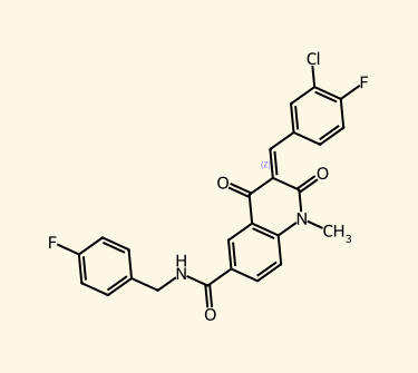 CN1C(=O)/C(=C\c2ccc(F)c(Cl)c2)C(=O)c2cc(C(=O)NCc3ccc(F)cc3)ccc21